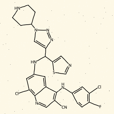 N#Cc1cnc2c(Cl)cc(NC(c3cn(C4CCNCC4)nn3)c3cncs3)cc2c1Nc1ccc(F)c(Cl)c1